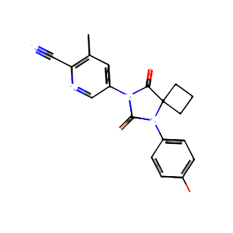 Cc1cc(N2C(=O)C3(CCC3)N(c3ccc(O)cc3)C2=S)cnc1C#N